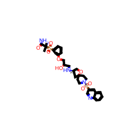 CC(C)(C(N)=O)S(=O)(=O)c1cccc(OCC(O)CN[C@H]2COC3(CCN(S(=O)(=O)c4cnc5ccccc5c4)CC3)C2)c1